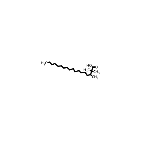 CCCCCCCCCCCCCCCC(C)C(C)(C)C(=O)O